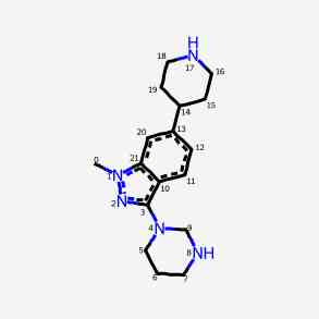 Cn1nc(N2CCCNC2)c2ccc(C3CCNCC3)cc21